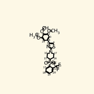 COc1cc(-c2csc(N3CCC(S(=O)(=O)c4ccccc4C(F)(F)F)CC3)n2)cc(OC)c1OC